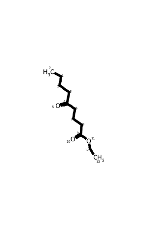 CCCCC(=O)CCCC(=O)OCC